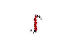 CCCCCC1CCC(C2CCC(CCc3ccc(C4CCC(OC)CC4)cc3)CC2)CC1